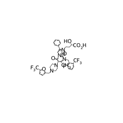 Cc1c(N2CCN(Cc3ccc(C(F)(F)F)o3)CC2)c(=O)n(C[C@H](NCCC(O)C(=O)O)c2ccccc2)c(=O)n1Cc1c(F)cccc1C(F)(F)F